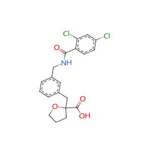 O=C(NCc1cccc(CC2(C(=O)O)CCCO2)c1)c1ccc(Cl)cc1Cl